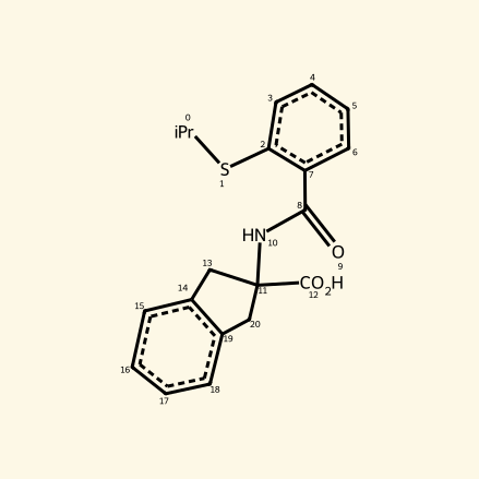 CC(C)Sc1ccccc1C(=O)NC1(C(=O)O)Cc2ccccc2C1